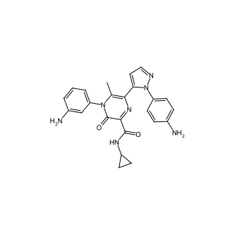 Cc1c(-c2ccnn2-c2ccc(N)cc2)nc(C(=O)NC2CC2)c(=O)n1-c1cccc(N)c1